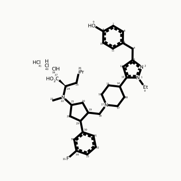 CCn1nc(Cc2ccc(O)cc2)cc1C1CCN(CC2CC(N(C)[C@H](CC(C)C)C(=O)O)CC2c2cccc(F)c2)CC1.Cl.Cl.Cl